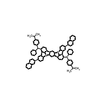 CC(C)c1ccc(C(c2ccccc2)c2ccc3c4cc5c(cc4n4c6ccc(-c7ccc8ccccc8c7)cc6c2c34)c2ccc(N(c3ccccc3)c3ccc(C(C)C)cc3)c3c4cc(-c6ccc7ccccc7c6)ccc4n5c23)cc1